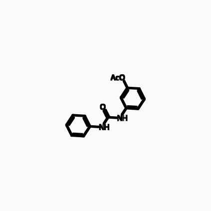 CC(=O)Oc1cccc(NC(=O)Nc2ccccc2)c1